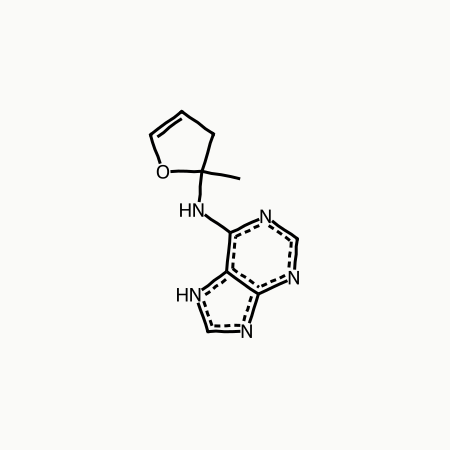 CC1(Nc2ncnc3nc[nH]c23)CC=CO1